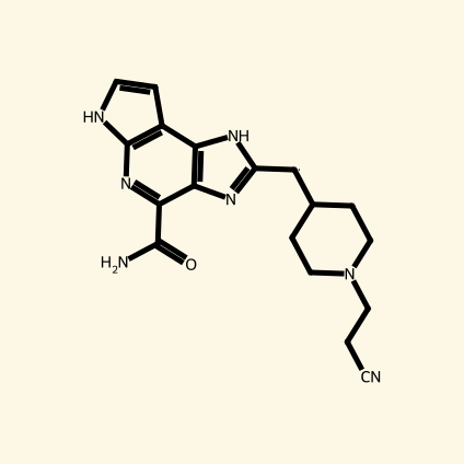 N#CCCN1CCC([CH]c2nc3c(C(N)=O)nc4[nH]ccc4c3[nH]2)CC1